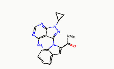 CNC(=O)c1cc2ccccc2n1-c1nn(C2CC2)c2ncnc(N)c12